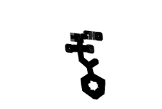 CC(CS(=O)(=O)NC=O)c1ccccc1